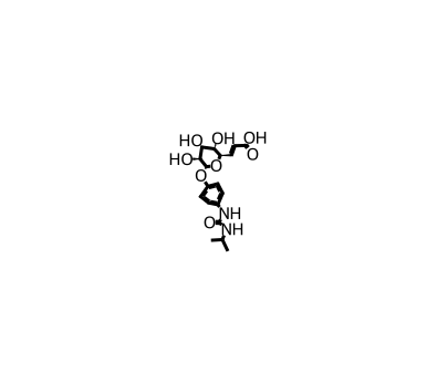 CC(C)NC(=O)Nc1ccc(O[C@H]2O[C@H](/C=C/C(=O)O)[C@@H](O)[C@H](O)[C@@H]2O)cc1